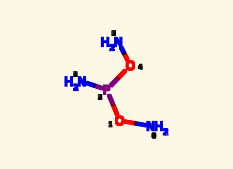 NOP(N)ON